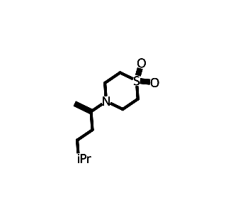 C=C(CCC(C)C)N1CCS(=O)(=O)CC1